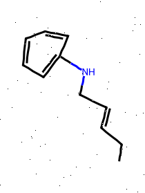 CCC=CCNc1ccccc1